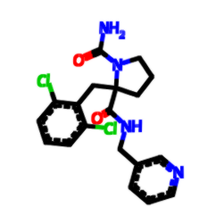 NC(=O)N1CCCC1(Cc1c(Cl)cccc1Cl)C(=O)NCc1cccnc1